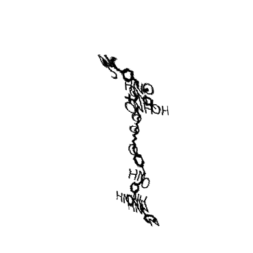 Cc1ncsc1-c1ccc(CNC(=O)[C@@H]2C[C@@H](O)CN2C(=O)[C@@H](NC(=O)COCCCOCCCCCOc2ccc(CNC(=O)c3cccc(NC4(c5nnc(-c6ccncc6)[nH]5)CCNCC4)c3)cc2)C(C)(C)C)cc1